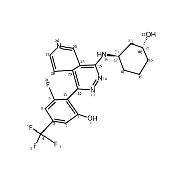 Oc1cc(C(F)(F)F)cc(F)c1-c1nnc(N[C@@H]2CCC[C@@H](O)C2)c2cnccc12